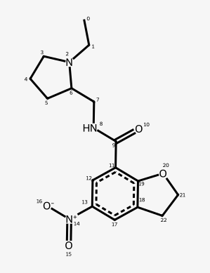 CCN1CCCC1CNC(=O)c1cc([N+](=O)[O-])cc2c1OCC2